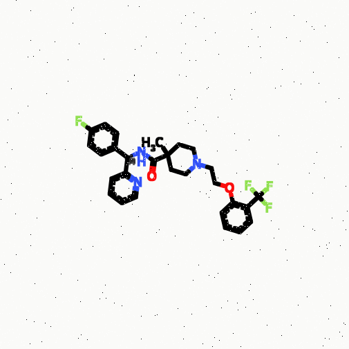 CC1(C(=O)N[C@H](c2ccc(F)cc2)c2ccccn2)CCN(CCOc2ccccc2C(F)(F)F)CC1